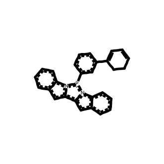 C1=CCCC(c2cccc(-p3n4c5ccccc5cc4c4cc5ccccc5n43)c2)=C1